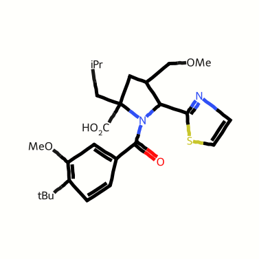 COCC1CC(CC(C)C)(C(=O)O)N(C(=O)c2ccc(C(C)(C)C)c(OC)c2)C1c1nccs1